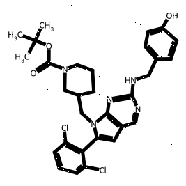 CC(C)(C)OC(=O)N1CCCC(Cn2c(-c3c(Cl)cccc3Cl)cc3cnc(NCc4ccc(O)cc4)nc32)C1